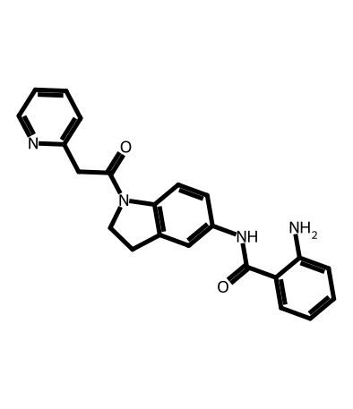 Nc1ccccc1C(=O)Nc1ccc2c(c1)CCN2C(=O)Cc1ccccn1